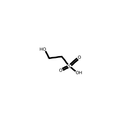 O=S(=O)(O)C[C]O